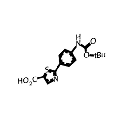 CC(C)(C)OC(=O)Nc1ccc(-c2ncc(C(=O)O)s2)cc1